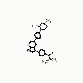 CC1CN(C)CCN1c1ccc(-c2cnc3[nH]cc(-c4ccc(C(=O)N(C)C)cc4)c3c2)cc1